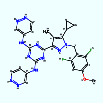 CCOc1cc(F)c(Cn2nc(-c3nc(Nc4ccnnc4)nc(Nc4ccnnc4)n3)c(C)c2C2CC2)c(F)c1